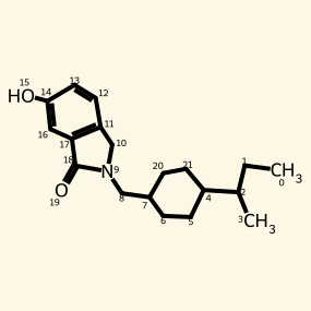 CCC(C)C1CCC(CN2Cc3ccc(O)cc3C2=O)CC1